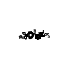 CC(C)(C)OC(=O)N1CCC(Nc2cccc3c(CC(F)(F)F)c(I)sc23)CC1